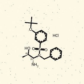 C[C@@H](O)[C@@H](N)N(Cc1ccccc1)S(=O)(=O)c1cccc(OC(C)(C)C)c1.Cl